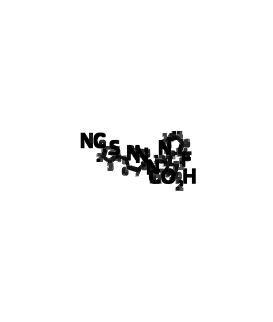 N#Cc1ccc(-c2ccc(N(CC3(c4ncccc4F)CCC3)C(=O)O)nn2)s1